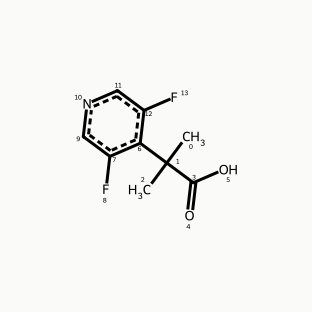 CC(C)(C(=O)O)c1c(F)cncc1F